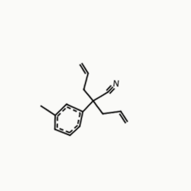 C=CCC(C#N)(CC=C)c1cccc(C)c1